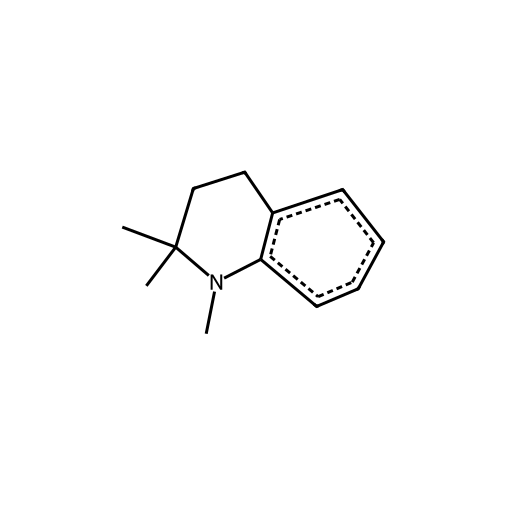 CN1c2ccccc2CCC1(C)C